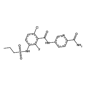 CCCS(=O)(=O)Nc1ccc(Cl)c(C(=O)Nc2ccc(C(N)=O)nc2)c1F